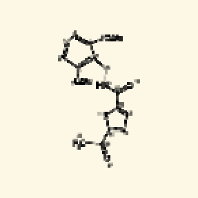 COc1cccc(OC)c1CNC(=O)c1ccc(C(=O)C(F)(F)F)s1